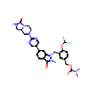 CN(C)C(=O)OCc1ccc(OC(F)F)c(Cn2c3cc(-c4cnc(N5CCN6C(=O)NCC6C5)nc4)ccc3c(=O)n2C)c1